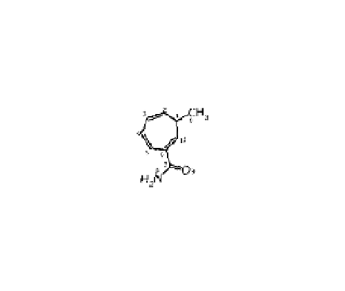 CC1C=CC=CC(C(N)=O)=C1